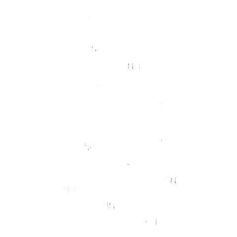 CC1=C(C#N)C(c2cccc(C(=O)Nc3ccccn3)c2)C(C#N)=C(C)N1